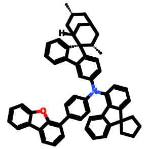 C[C@@H]1CC2C[C@@H](C1)[C@@]1(c3ccccc3-c3cc(N(c4ccc(-c5cccc6c5oc5ccccc56)cc4)c4cccc5c4-c4ccccc4C54CCCC4)ccc31)[C@@H](C)C2